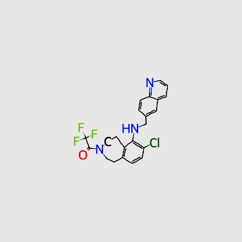 O=C(N1CCc2ccc(Cl)c(NCc3ccc4ncccc4c3)c2CC1)C(F)(F)F